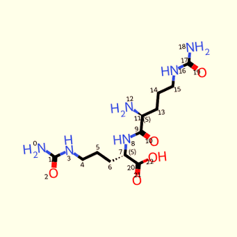 NC(=O)NCCC[C@H](NC(=O)[C@@H](N)CCCNC(N)=O)C(=O)O